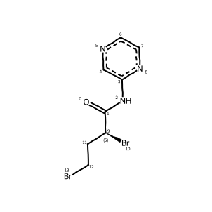 O=C(Nc1cnccn1)[C@@H](Br)CCBr